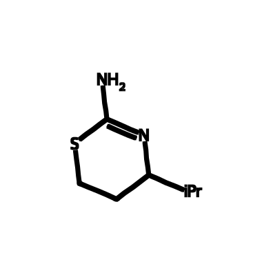 CC(C)C1CCSC(N)=N1